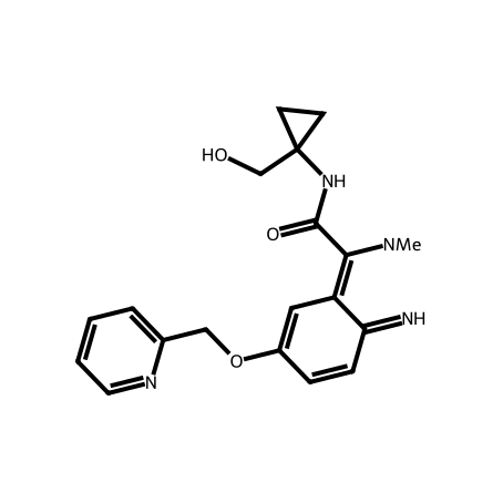 CN/C(C(=O)NC1(CO)CC1)=C1/C=C(OCc2ccccn2)C=CC1=N